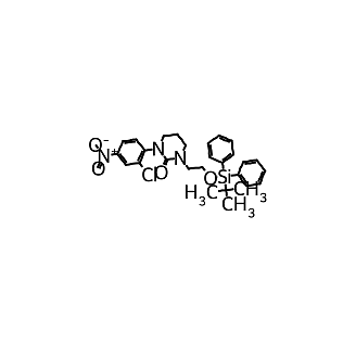 CC(C)(C)[Si](OCCN1CCCN(c2ccc([N+](=O)[O-])cc2Cl)C1=O)(c1ccccc1)c1ccccc1